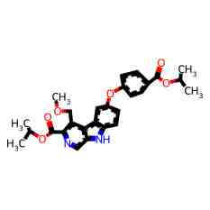 COCc1c(C(=O)OC(C)C)ncc2[nH]c3ccc(Oc4ccc(C(=O)OC(C)C)cc4)cc3c12